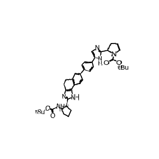 CC(C)(C)OC(=O)N[C@H]1CCC[C@@H]1c1nc2c([nH]1)-c1ccc(-c3ccc(-c4cnc(C5CCCN5C(=O)OC(C)(C)C)[nH]4)cc3)cc1CC2